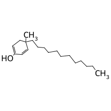 CCCCCCCCCCCCC1(C)C=CC(O)=CC1